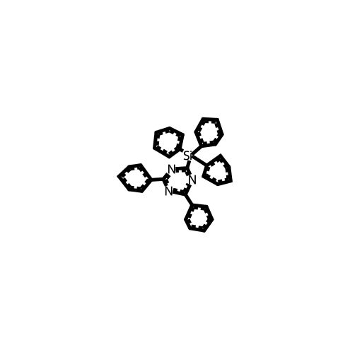 c1ccc(-c2nc(-c3ccccc3)nc([Si](c3ccccc3)(c3ccccc3)c3ccccc3)n2)cc1